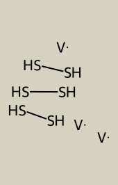 SS.SS.SS.[V].[V].[V]